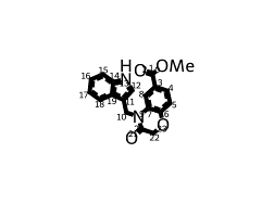 COC(=O)c1ccc2c(c1)N(Cc1c[nH]c3ccccc13)C(=O)CO2